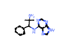 CC(C)(N)C(Nc1ncnc2[nH]cnc12)c1ccccc1